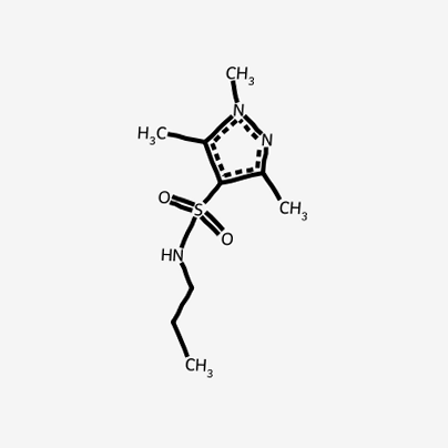 CCCNS(=O)(=O)c1c(C)nn(C)c1C